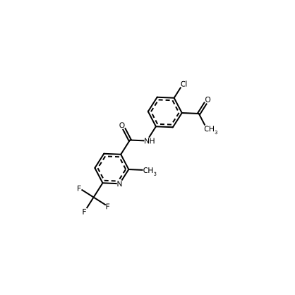 CC(=O)c1cc(NC(=O)c2ccc(C(F)(F)F)nc2C)ccc1Cl